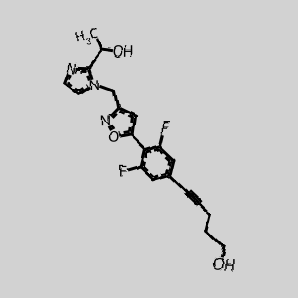 CC(O)c1nccn1Cc1cc(-c2c(F)cc(C#CCCCO)cc2F)on1